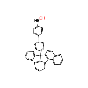 OBc1ccc(-c2ccc(C3(c4ccccc4)c4ccccc4-c4c3ccc3ccccc43)cc2)cc1